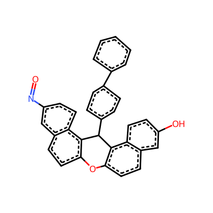 O=Nc1ccc2c3c(ccc2c1)Oc1ccc2cc(O)ccc2c1C3c1ccc(-c2ccccc2)cc1